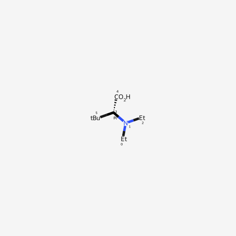 CCN(CC)[C@@H](C(=O)O)C(C)(C)C